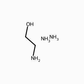 N.N.NCCO